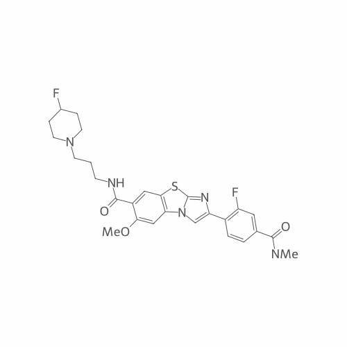 CNC(=O)c1ccc(-c2cn3c(n2)sc2cc(C(=O)NCCCN4CCC(F)CC4)c(OC)cc23)c(F)c1